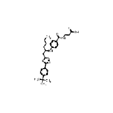 CCCCC(Cc1noc(-c2ccc(C(C)(C)C)cc2)n1)Nc1ccc(C(=O)NCCC(=O)O)cc1